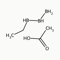 BBBCC.CC(=O)O